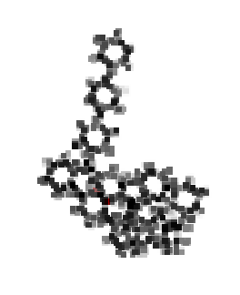 c1ccc(-c2ccc(-c3ccc(N(c4ccc5c(c4)c4cccc6c4n5-c4ccccc4C64c5ccccc5-c5ccccc54)c4ccccc4-c4ccc(-c5ccccc5)cc4)cc3)cc2)cc1